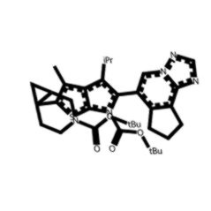 Cc1c(C23CCN(C(=O)OC(C)(C)C)CC2C3)sc2c1c(C(C)C)c(-c1cn3ncnc3c3c1CCC3)n2C(=O)OC(C)(C)C